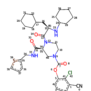 N#Cc1cccc(OC(=O)N2CCN(C(=O)[C@@H](CC3CCCCC3)NC3CCCCC3)[C@H](C(=O)NCc3cccs3)C2)c1Cl